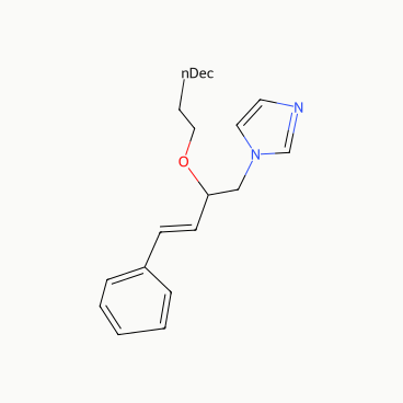 CCCCCCCCCCCCOC(/C=C/c1ccccc1)Cn1ccnc1